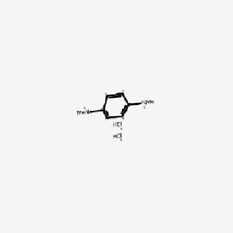 CNc1ccc(NC)cc1.Cl.Cl